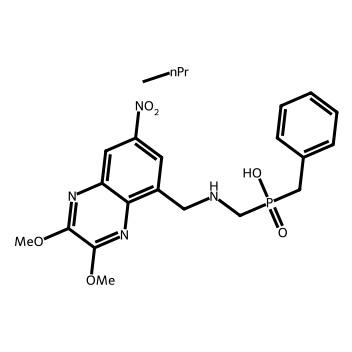 CCCC.COc1nc2cc([N+](=O)[O-])cc(CNCP(=O)(O)Cc3ccccc3)c2nc1OC